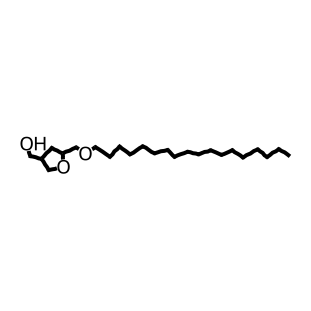 CCCCCCCCCCCCCCCCCCOCC1CC(CO)CO1